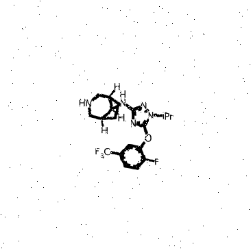 CC(C)n1nc(N[C@@H]2[C@@H]3CC[C@H]2CNC3)nc1Oc1cc(C(F)(F)F)ccc1F